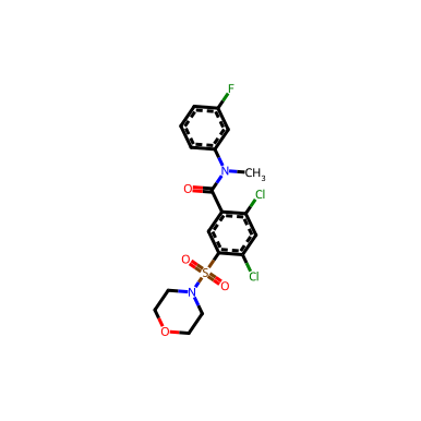 CN(C(=O)c1cc(S(=O)(=O)N2CCOCC2)c(Cl)cc1Cl)c1cccc(F)c1